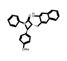 COc1ccc([C@@H]2[C@@H](Cc3cc4ccccc4cc3O)C(=O)N2c2ccccc2)cc1